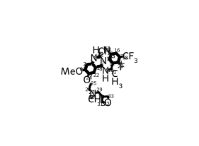 COc1cc2nc(C)nc(N[C@H](C)c3cc(N)cc(C(F)(F)F)c3F)c2cc1OCCN(C)CC1COC1